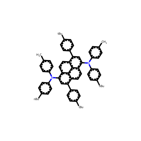 CCCCc1ccc(N(c2ccc(C)cc2)c2cc(-c3ccc(C(C)(C)C)cc3)c3ccc4c(N(c5ccc(C)cc5)c5ccc(CCCC)cc5)cc(-c5ccc(C(C)(C)C)cc5)c5ccc2c3c54)cc1